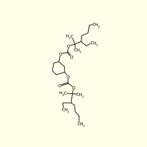 CCCCC(CC)C(C)(C)OC(=O)OC1CCCC(OC(=O)OC(C)(C)C(CC)CCCC)C1